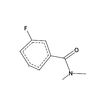 CN(C)C(=O)c1c[c]cc(F)c1